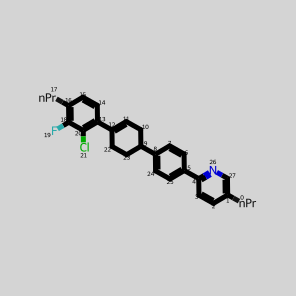 CCCc1ccc(-c2ccc(C3CC=C(c4ccc(CCC)c(F)c4Cl)CC3)cc2)nc1